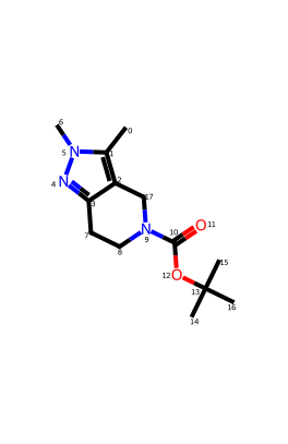 Cc1c2c(nn1C)CCN(C(=O)OC(C)(C)C)C2